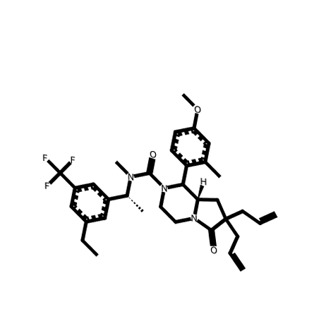 C=CCC1(CC=C)C[C@H]2C(c3ccc(OC)cc3C)N(C(=O)N(C)[C@H](C)c3cc(CC)cc(C(F)(F)F)c3)CCN2C1=O